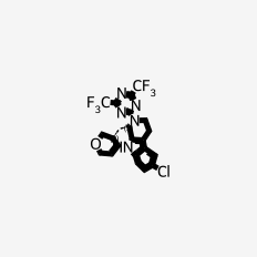 FC(F)(F)c1nc(N2CCc3c([nH]c4ccc(Cl)cc34)[C@@H]2C[C@@H]2C=CCOC2)nc(C(F)(F)F)n1